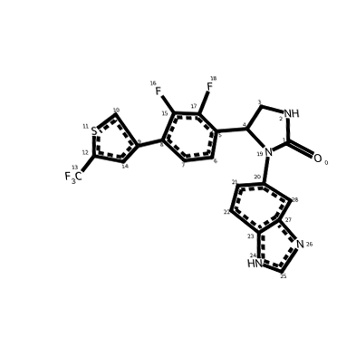 O=C1NCC(c2ccc(-c3csc(C(F)(F)F)c3)c(F)c2F)N1c1ccc2[nH]cnc2c1